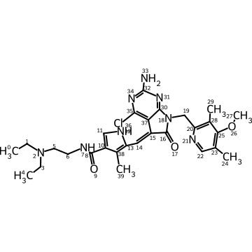 CCN(CC)CCNC(=O)c1c[nH]c(/C=C2/C(=O)N(Cc3ncc(C)c(OC)c3C)c3nc(N)nc(Cl)c32)c1C